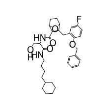 O=C(NCCCCC1CCCCC1)C(CO)NC(=O)C1C2CCC(O2)C1Cc1cc(F)ccc1OCc1ccccc1